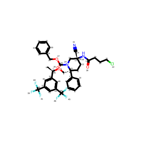 C[C@@H](OC[C@@]1(c2ccccc2)CC[C@@](C#N)(NC(=O)CCCCl)CN1C(=O)OCc1ccccc1)c1cc(C(F)(F)F)cc(C(F)(F)F)c1